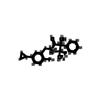 O=C(NCc1cc(C2CC2)ccc1F)[C@](O)(c1ccccc1)C(F)(F)C(F)(F)F